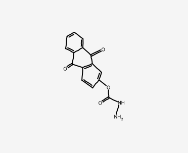 NNC(=O)Oc1ccc2c(c1)C(=O)c1ccccc1C2=O